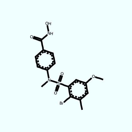 COc1cc(C)c(Br)c(S(=O)(=O)N(C)c2ccc(C(=O)NO)cc2)c1